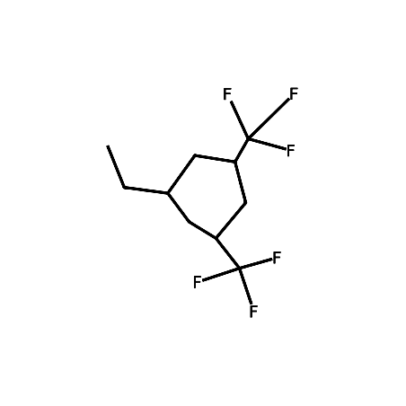 CCC1CC(C(F)(F)F)CC(C(F)(F)F)C1